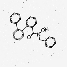 O=C(c1ccccc1-c1ccccc1-c1ccccc1)N(O)Cc1ccccc1